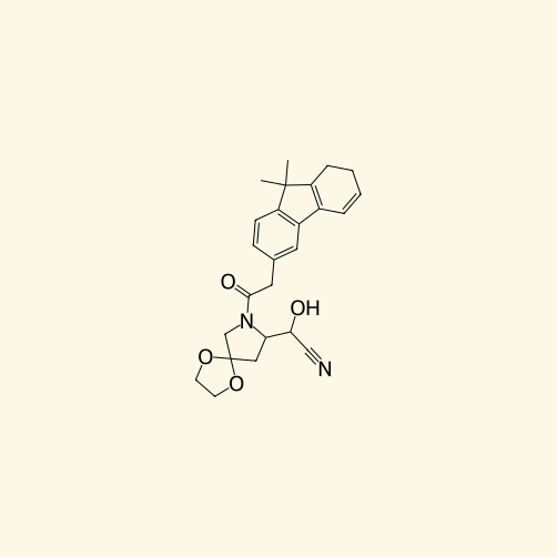 CC1(C)C2=C(C=CCC2)c2cc(CC(=O)N3CC4(CC3C(O)C#N)OCCO4)ccc21